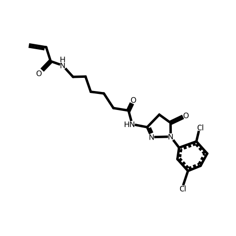 C=CC(=O)NCCCCCC(=O)NC1=NN(c2cc(Cl)ccc2Cl)C(=O)C1